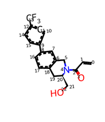 C=CC(=O)N1Cc2cc(-c3ccc(C(F)(F)F)cc3)ccc2C[C@@H]1CO